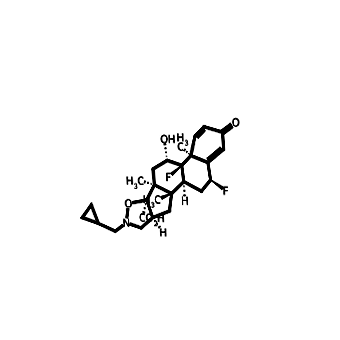 C[C@]12C[C@H](O)[C@@]3(F)[C@@H](C[C@H](F)C4=CC(=O)C=C[C@@]43C)[C@]1(C)C[C@H]1CN(CC3CC3)O[C@]12C(=O)O